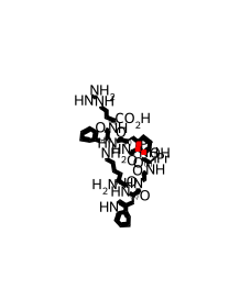 CC(C)C(NC(=O)[C@H](NC(=O)CNC(=O)[C@@H](Cc1c[nH]c2ccccc12)NC(=O)[C@H](N)CCCCN)C(C)C)C(=O)N[C@H](Cc1ccc(O)cc1)C(=O)N[C@H](Cc1ccccc1)C(=O)N[C@H](CCCNC(=N)N)C(=O)O